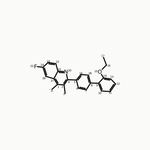 [CH2]c1c(C)c(-c2ccc(-c3ccccc3OCC)cc2)nc2ccc(F)cc12